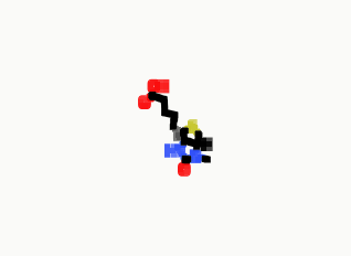 CN1C(=O)NC2[C@H](CCCCC(=O)O)SC[C@@H]21